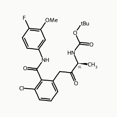 COc1cc(NC(=O)c2c(Cl)cccc2CC(=O)[C@H](C)NC(=O)OC(C)(C)C)ccc1F